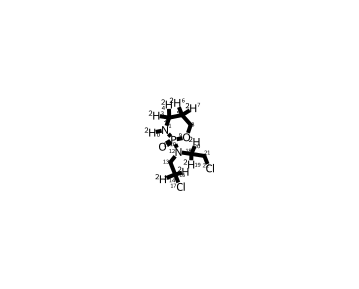 [2H]N1C([2H])([2H])C([2H])([2H])COP1(=O)N(CC([2H])([2H])Cl)C([2H])([2H])CCl